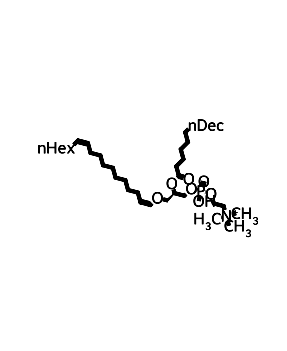 CCCCCC/C=C\CCCCCCCC/C=C\OC[C@H](COP(=O)(O)OCC[N+](C)(C)C)OC(=O)CCCCCCCCCCCCCCC